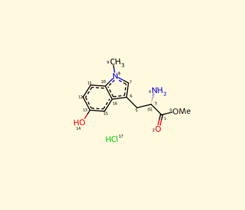 COC(=O)[C@@H](N)Cc1cn(C)c2ccc(O)cc12.Cl